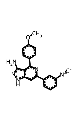 [C-]#[N+]c1cccc(-c2cc3[nH]nc(N)c3c(-c3ccc(OC)cc3)n2)c1